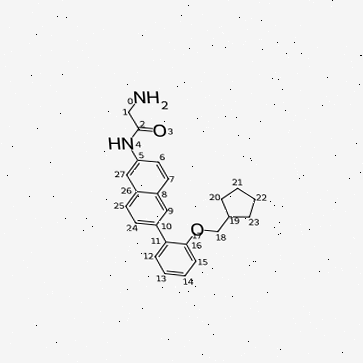 NCC(=O)Nc1ccc2cc(-c3ccccc3OCC3CCCC3)ccc2c1